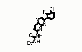 CCNC(=O)Nc1ccc2ncc(-c3cccc(Cl)c3F)nc2n1